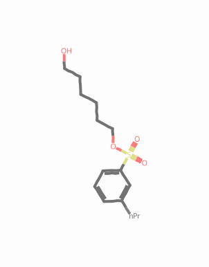 CCCc1cccc(S(=O)(=O)OCCCCCCO)c1